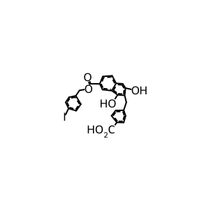 O=C(O)c1ccc(Cc2c(O)cc3ccc(C(=O)OCc4ccc(I)cc4)cc3c2O)cc1